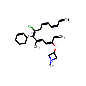 C=C/C=C\C=C/C\C(Cl)=C(/C(C)=C/C=C(\C=C)OC1CN(CCC)C1)[C@H]1C=CCCC1